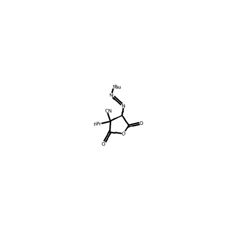 CCCC1(C#N)C(=O)OC(=O)C1N=NC(C)(C)C